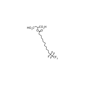 O=C(O)CC(OC(=O)CCCCCCCCCCCC(F)(F)C(F)(F)C(F)(F)F)C(=O)O